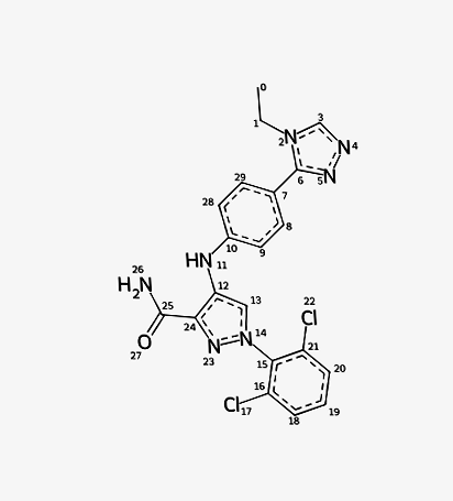 CCn1cnnc1-c1ccc(Nc2cn(-c3c(Cl)cccc3Cl)nc2C(N)=O)cc1